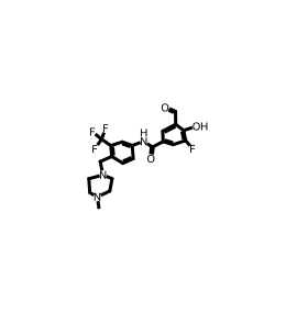 CN1CCN(Cc2ccc(NC(=O)c3cc(F)c(O)c(C=O)c3)cc2C(F)(F)F)CC1